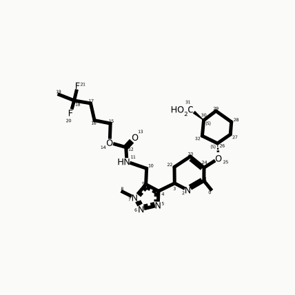 CC1=NC(c2nnn(C)c2CNC(=O)OCCCC(C)(F)F)CC=C1O[C@H]1CCC[C@H](C(=O)O)C1